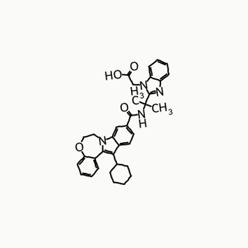 CC(C)(NC(=O)c1ccc2c(C3CCCCC3)c3n(c2c1)CCOc1ccccc1-3)c1nc2ccccc2n1CC(=O)O